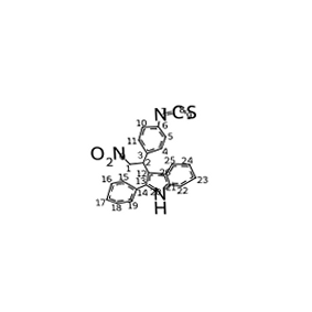 O=[N+]([O-])CC(c1ccc(N=C=S)cc1)c1c(-c2ccccc2)[nH]c2ccccc12